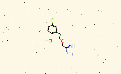 Cl.N=C(N)COCCc1cccc(F)c1